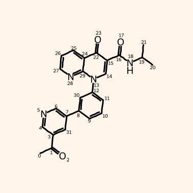 CC(=O)c1cncc(-c2cccc(-n3cc(C(=O)NC(C)C)c(=O)c4cccnc43)c2)c1